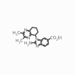 CCOC(=O)c1ccc2nc(N)n(C3CCCc4nc(C)c(C)nc43)c2c1